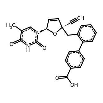 C#C[C@@]1(Cc2ccccc2-c2ccc(C(=O)O)cc2)C=C[C@H](n2cc(C)c(=O)[nH]c2=O)O1